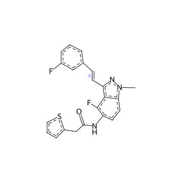 Cn1nc(/C=C/c2cccc(F)c2)c2c(F)c(NC(=O)Cc3cccs3)ccc21